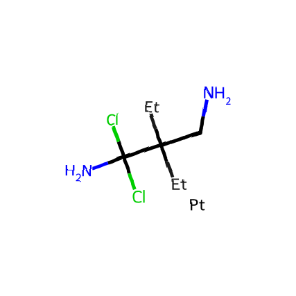 CCC(CC)(CN)C(N)(Cl)Cl.[Pt]